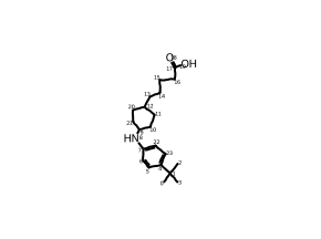 CC(C)(C)c1ccc(NC2CCC(CCCCC(=O)O)CC2)cc1